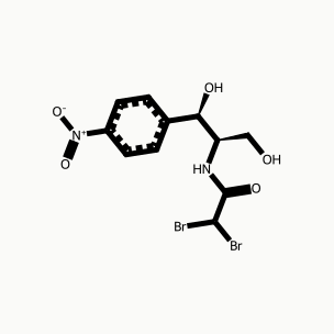 O=C(N[C@H](CO)[C@H](O)c1ccc([N+](=O)[O-])cc1)C(Br)Br